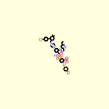 C=Cc1cnc2cnn(-c3cc(N4CCN(CC5=C(c6ccc(Cl)cc6)CC(C)(C)CC5)CC4)ccc3C(=O)NS(=O)(=O)c3ccc(OC[C@H]4CC[C@@H](OC)CC4)c([N+](=O)[O-])c3)c2c1